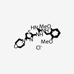 COc1cccc(OC)c1CNC(=N)NC1=NC(=[N+]2CCOCC2)CS1.[Cl-]